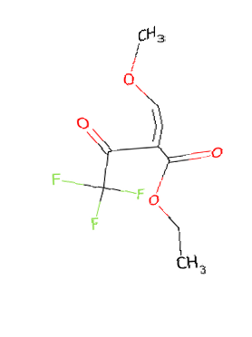 CCOC(=O)/C(=C/OC)C(=O)C(F)(F)F